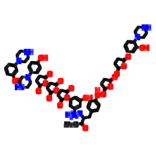 COC(=O)[C@@H](N)Cc1ccc(O)cc1.Nc1cccc(O)c1.O=C1CCC(=O)O1.O=C1CCC(=O)O1.O=C1CCC(=O)O1.O=C1CCC(=O)O1.O=C1CCC(=O)O1.Oc1ccc(N2CCNCC2)cc1.Oc1cccc(N2CCNCC2)c1.Oc1ccccc1N1CCNCC1